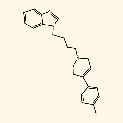 Cc1ccc(C2=CCN(CCCCn3cnc4ccccc43)CC2)cc1